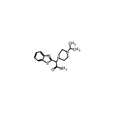 CC(C)N1CCN(C(C(N)=O)c2nc3ccccc3s2)CC1